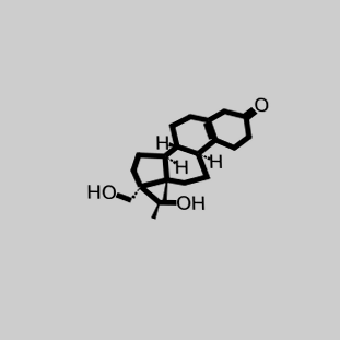 C[C@H](O)[C@@]1(CO)CC[C@H]2[C@@H]3CCC4=C(CCC(=O)C4)[C@H]3CC[C@@]21C